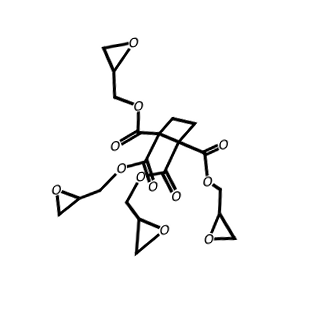 O=C(OCC1CO1)C1(C(=O)OCC2CO2)CCC1(C(=O)OCC1CO1)C(=O)OCC1CO1